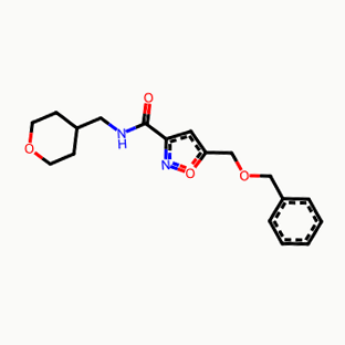 O=C(NCC1CCOCC1)c1cc(COCc2ccccc2)on1